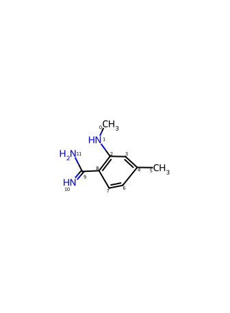 CNc1cc(C)ccc1C(=N)N